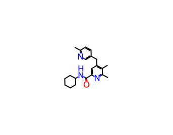 Cc1ccc(Cc2cc(C(=O)NC3CCCCC3)nc(C)c2C)cn1